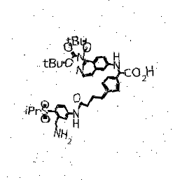 CC(C)S(=O)(=O)c1ccc(NC(=O)CCCc2ccc(C(Nc3ccc4c(N(OC(C)(C)C)C(=O)OC(C)(C)C)nccc4c3)C(=O)O)cc2)cc1CN